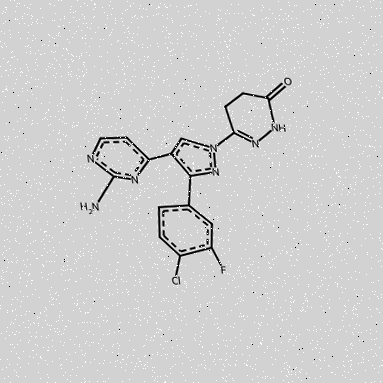 Nc1nccc(-c2cn(C3=NNC(=O)CC3)nc2-c2ccc(Cl)c(F)c2)n1